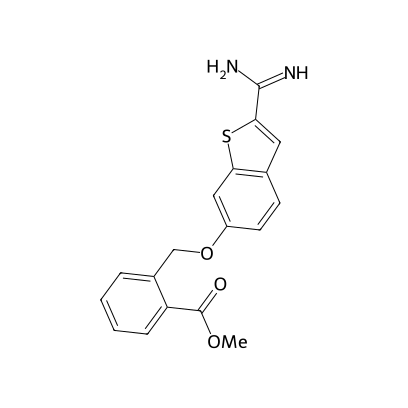 COC(=O)c1ccccc1COc1ccc2cc(C(=N)N)sc2c1